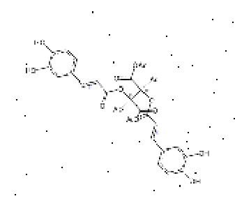 CC(=O)OC(=O)[C@](OC(=O)/C=C/c1ccc(O)c(O)c1)(C(C)=O)[C@@](OC(=O)/C=C/c1ccc(O)c(O)c1)(C(C)=O)C(=O)OC(C)=O